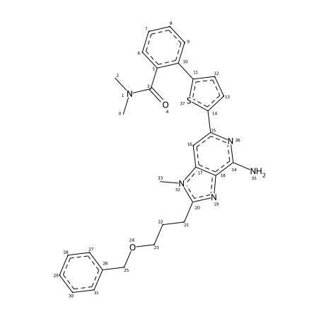 CN(C)C(=O)c1ccccc1-c1ccc(-c2cc3c(nc(CCCOCc4ccccc4)n3C)c(N)n2)s1